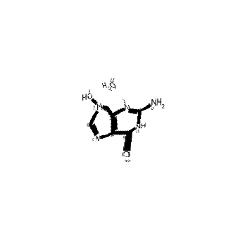 Nc1nc2c(ncn2O)c(=O)[nH]1.O